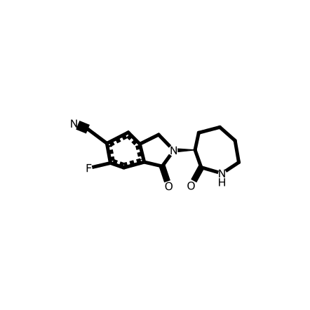 N#Cc1cc2c(cc1F)C(=O)N([C@H]1CCCCNC1=O)C2